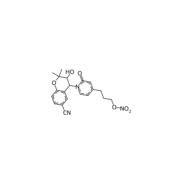 CC1(C)Oc2ccc(C#N)cc2C(n2ccc(CCCO[N+](=O)[O-])cc2=O)C1O